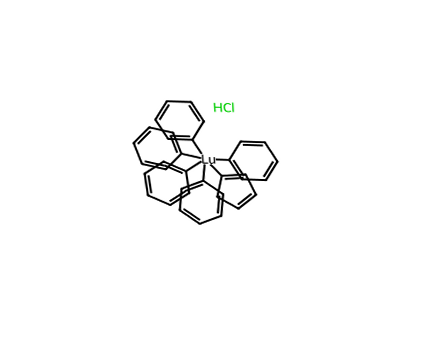 C1=CC[C]([Lu]([c]2ccccc2)([c]2ccccc2)([c]2ccccc2)([c]2ccccc2)[c]2ccccc2)=C1.Cl